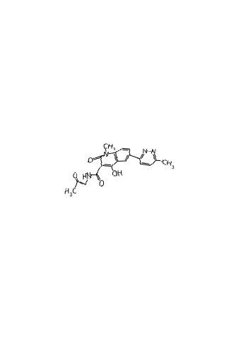 CC(=O)CNC(=O)c1c(O)c2cc(-c3ccc(C)nn3)ccc2n(C)c1=O